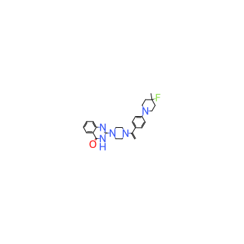 C=C(c1ccc(N2CCC(C)(F)CC2)cc1)N1CCN(c2nc3ccccc3c(=O)[nH]2)CC1